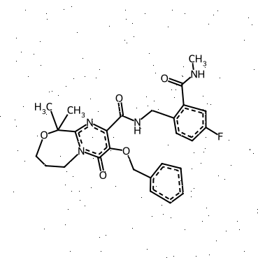 CNC(=O)c1cc(F)ccc1CNC(=O)c1nc2n(c(=O)c1OCc1ccccc1)CCCOC2(C)C